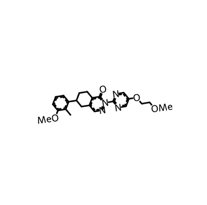 COCCOc1cnc(-n2ncc3c(c2=O)CCC(c2cccc(OC)c2C)C3)nc1